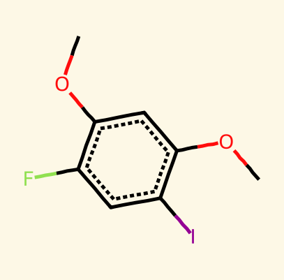 COc1cc(OC)c(I)cc1F